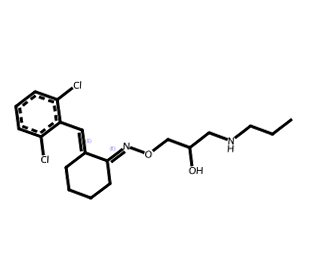 CCCNCC(O)CO/N=C1\CCCC\C1=C/c1c(Cl)cccc1Cl